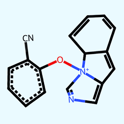 N#Cc1ccccc1O[N+]12C=NC=C1C=C1C=CC=CC12